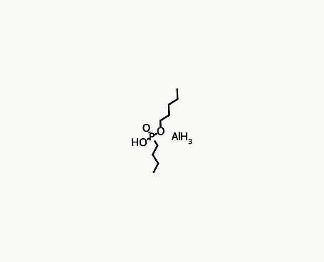 CCCCCOP(=O)(O)CCCC.[AlH3]